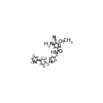 CCOc1nc(C(=O)NCC2CCN(Cc3ccc(-c4ccccn4)cc3)CC2)cc(N)c1C#N